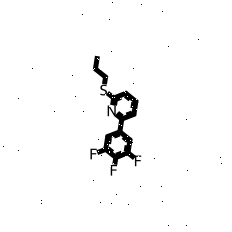 CCCSc1cccc(-c2cc(F)c(F)c(F)c2)n1